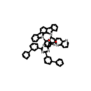 c1ccc(-c2cccc(-c3nc(-c4cccc(-c5ccccc5)c4)nc(-c4nccc(-n5c6ccccc6c6ccc7c8ccccc8n(-c8cccc(-c9ccc%10ncccc%10n9)n8)c7c65)n4)n3)c2)cc1